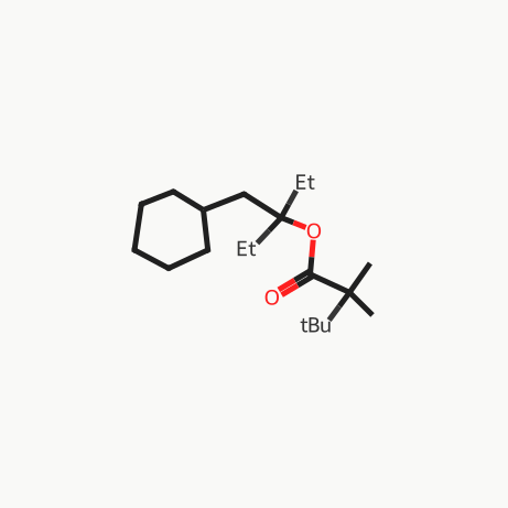 CCC(CC)(CC1CCCCC1)OC(=O)C(C)(C)C(C)(C)C